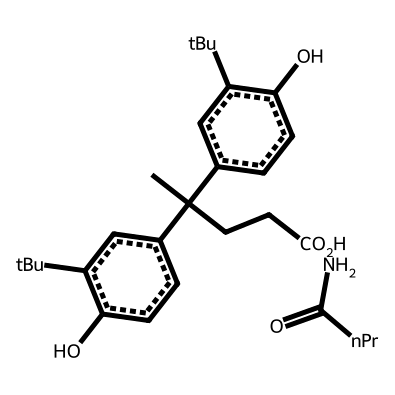 CC(C)(C)c1cc(C(C)(CCC(=O)O)c2ccc(O)c(C(C)(C)C)c2)ccc1O.CCCC(N)=O